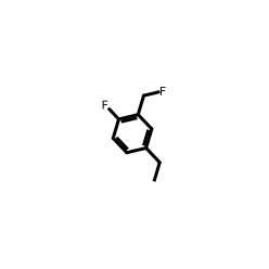 CCc1ccc(F)c(CF)c1